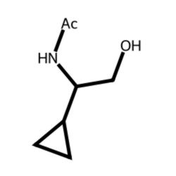 CC(=O)NC(CO)C1CC1